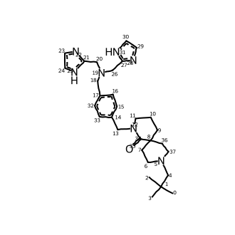 CC(C)(C)CN1CCC2(CCCN(Cc3ccc(CN(Cc4ncc[nH]4)Cc4ncc[nH]4)cc3)C2=O)CC1